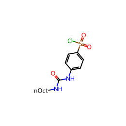 CCCCCCCCNC(=O)Nc1ccc(S(=O)(=O)Cl)cc1